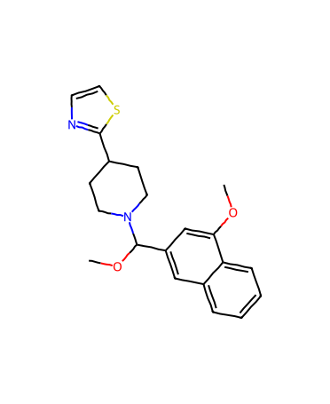 COc1cc(C(OC)N2CCC(c3nccs3)CC2)cc2ccccc12